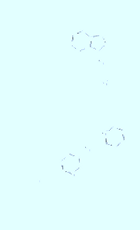 COc1ccc(NCc2cccc(OCC3CCC4CN(c5noc6ccccc56)CCN4C3)n2)cn1